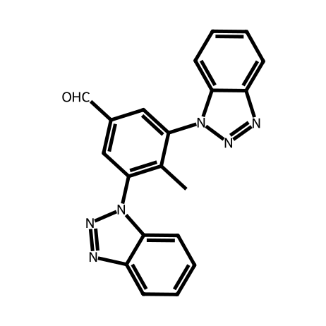 Cc1c(-n2nnc3ccccc32)cc(C=O)cc1-n1nnc2ccccc21